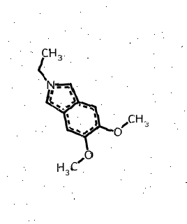 CCn1cc2cc(OC)c(OC)cc2c1